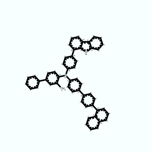 Cc1cc(-c2ccccc2)ccc1N(c1ccc(-c2ccc(-c3cccc4ccccc34)cc2)cc1)c1ccc(-c2cccc3c2oc2ccccc23)cc1